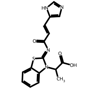 CC(C(=O)O)n1c(=NC(=O)/C=C/c2cnc[nH]2)sc2ccccc21